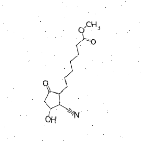 COC(=O)CCCCCCC1C(=O)CC(O)C1C#N